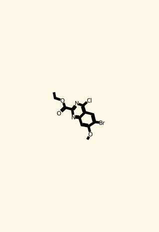 CCOC(=O)c1nc(Cl)c2cc(Br)c(OC)cc2n1